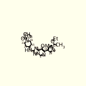 CCOC(C)n1cc(-c2ncn3nc(NC4CCN(S(C)(=O)=O)CC4)nc3c2OC)cn1